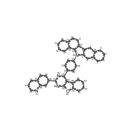 c1ccc2cc3c(cc2c1)c1ccc2ccccc2c1n3-c1ccc(-c2nc(-c3ccc4cccnc4c3)nc3oc4ccccc4c23)cc1